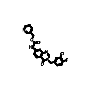 O=C(Nc1ccc2c(=O)n(Cc3ccc(F)c(Cl)c3)cnc2c1)OCc1cccnc1